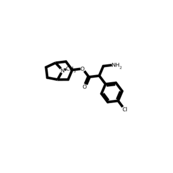 CN1C2CCC1CC(OC(=O)C(CN)c1ccc(Cl)cc1)C2